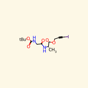 C[C@H](NC(=O)CNC(=O)OC(C)(C)C)C(=O)OCC#CI